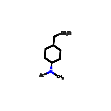 CCOC(=O)C[C@H]1CC[C@H](N(C)C(C)=O)CC1